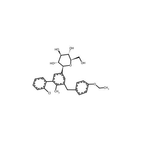 CCOc1ccc(Cc2cc([C@@H]3O[C@H](CO)[C@@H](O)[C@H](O)[C@H]3O)cc(-c3ccccc3Cl)c2C)cc1